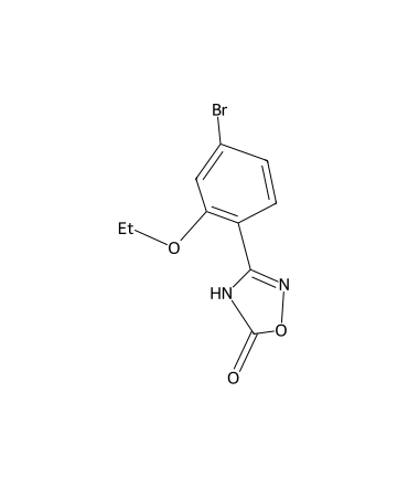 CCOc1cc(Br)ccc1-c1noc(=O)[nH]1